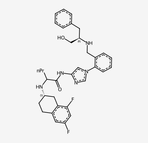 CCCC(N[C@H]1CCc2cc(F)cc(F)c2C1)C(=O)Nc1cn(-c2ccccc2CN[C@@H](CO)Cc2ccccc2)cn1